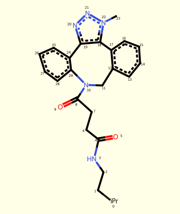 CC(C)CCNC(=O)CCC(=O)N1Cc2ccccc2-c2c(nnn2C)-c2ccccc21